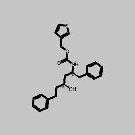 O=C(N[C@@H](Cc1ccccc1)C[C@@H](O)CCc1ccccc1)OCc1ccsc1